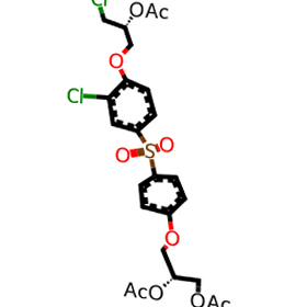 CC(=O)OC[C@@H](COc1ccc(S(=O)(=O)c2ccc(OC[C@H](CCl)OC(C)=O)c(Cl)c2)cc1)OC(C)=O